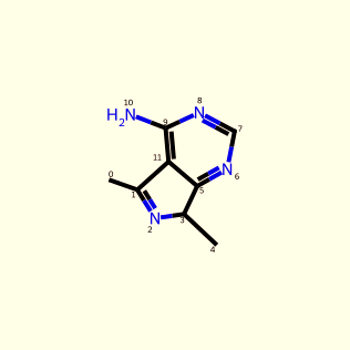 CC1=NC(C)c2ncnc(N)c21